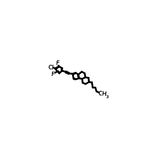 CCCCCC1CCC2c3ccc(C#Cc4cc(F)c(Cl)c(F)c4)cc3CCC2C1